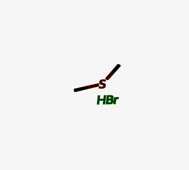 Br.CSC